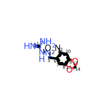 N=C(N)NN=Cc1cc2c(cc1[N+](=O)[O-])OCO2